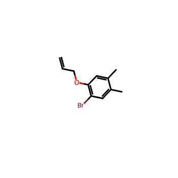 C=CCOc1cc(C)c(C)cc1Br